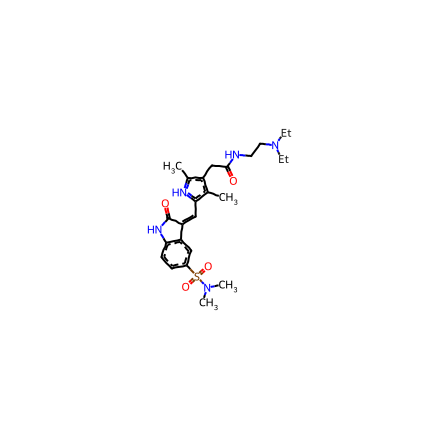 CCN(CC)CCNC(=O)Cc1c(C)[nH]c(/C=C2\C(=O)Nc3ccc(S(=O)(=O)N(C)C)cc32)c1C